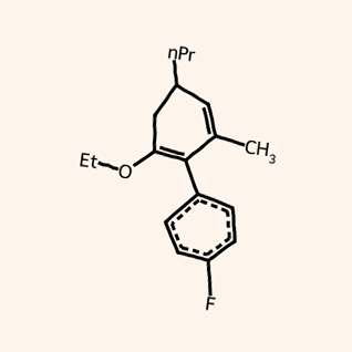 CCCC1C=C(C)C(c2ccc(F)cc2)=C(OCC)C1